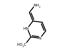 NC=C1C=CN=C(C(=O)O)N1